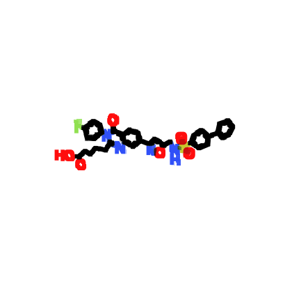 O=C(O)CCCCc1nc2cc(-c3cc(CNS(=O)(=O)c4ccc(-c5ccccc5)cc4)on3)ccc2c(=O)n1-c1ccc(F)cc1